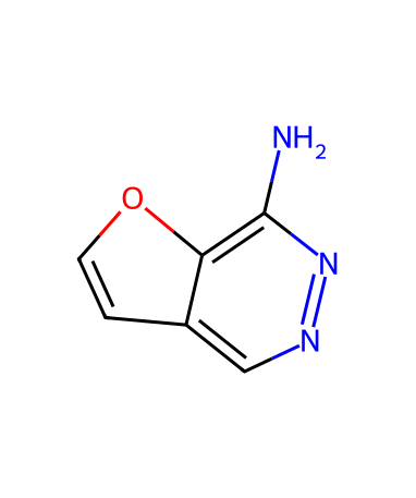 Nc1nncc2ccoc12